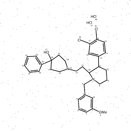 COc1cccc(CN2CCCC(c3ccc(Cl)c(Cl)c3)C2CCN2CCC(O)(c3ccccc3)CC2)c1.Cl.Cl